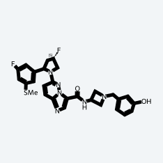 CSc1cc(F)cc(C2C[C@H](F)CN2c2ccc3ncc(C(=O)NC4CN(Cc5cccc(O)c5)C4)n3n2)c1